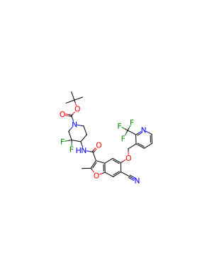 Cc1oc2cc(C#N)c(OCc3cccnc3C(F)(F)F)cc2c1C(=O)NC1CCN(C(=O)OC(C)(C)C)CC1(F)F